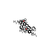 COC(=O)c1ccc(OC)c(C2COCCCN2c2cc(Cc3cc(C(=O)O)cc(C4COCCCN4c4cc(C)nc(N)n4)c3OC)nc(N)n2)c1